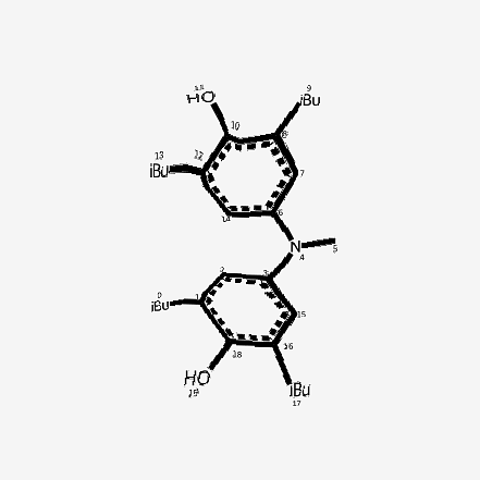 CCC(C)c1cc(N(C)c2cc(C(C)CC)c(O)c(C(C)CC)c2)cc(C(C)CC)c1O